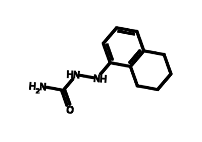 NC(=O)NNc1cccc2c1CCCC2